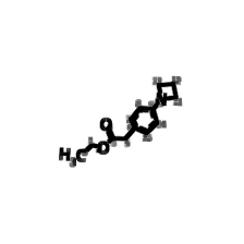 CCOC(=O)Cc1ccc(N2CCC2)cc1